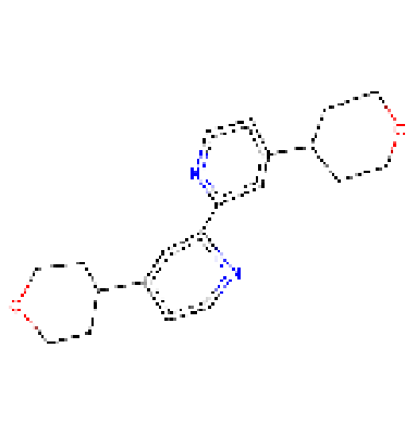 c1cc(C2CCOCC2)cc(-c2cc(C3CCOCC3)ccn2)n1